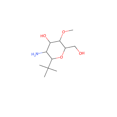 COC1C(CO)OC(C(C)(C)C)C(N)C1O